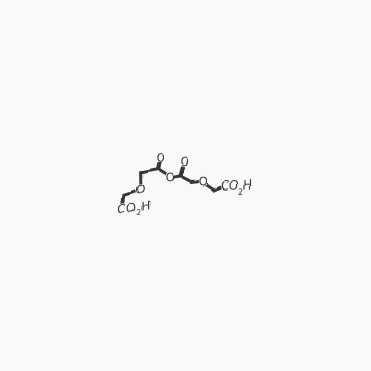 O=C(O)COCC(=O)OC(=O)COCC(=O)O